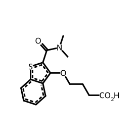 CN(C)C(=O)c1sc2ccccc2c1OCCCC(=O)O